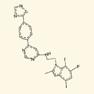 Cc1cc(F)c(F)c2c1cc(C)n2CCNc1cc(-c2ccc(-c3ncno3)cc2)ncn1